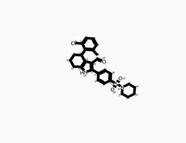 Cc1cccc(Cl)c1C1CCCc2[nH]c(-c3ccc(S(=O)(=O)N4CCCCC4)cc3)c(C=O)c21